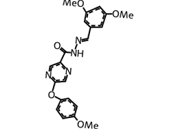 COc1ccc(Oc2cnc(C(=O)NN=Cc3cc(OC)cc(OC)c3)cn2)cc1